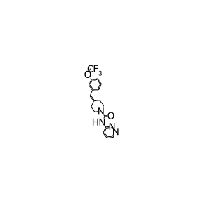 O=C(Nc1cccnn1)N1CCC(=Cc2cccc(OC(F)(F)F)c2)CC1